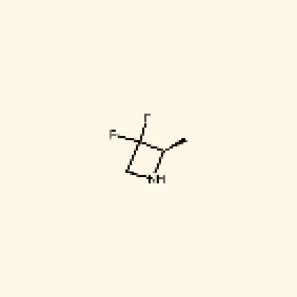 C[C@H]1NCC1(F)F